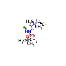 C#CC[N+](C)(C)CCNC(=O)OC(C)(C)C.[Br-]